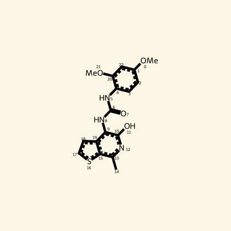 COc1ccc(NC(=O)Nc2c(O)nc(C)c3sccc23)c(OC)c1